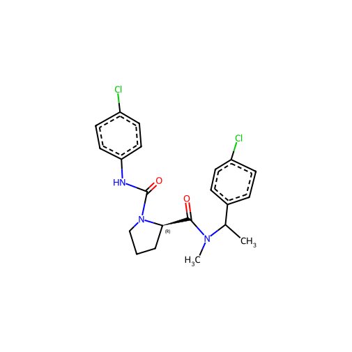 CC(c1ccc(Cl)cc1)N(C)C(=O)[C@H]1CCCN1C(=O)Nc1ccc(Cl)cc1